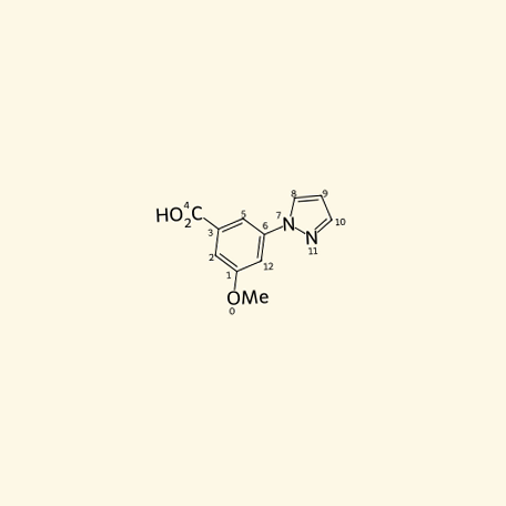 COc1cc(C(=O)O)cc(-n2cccn2)c1